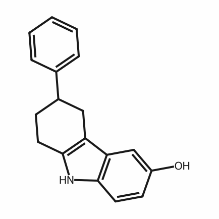 Oc1ccc2[nH]c3c(c2c1)CC(c1ccccc1)CC3